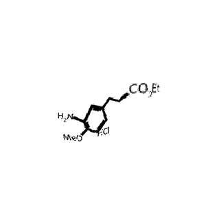 CCOC(=O)CCc1ccc(OC)c(N)c1.Cl